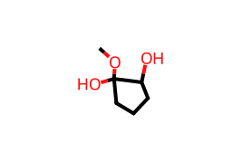 COC1(O)CCCC1O